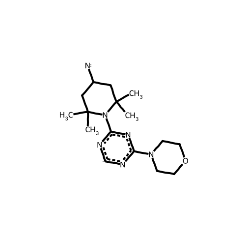 CC1(C)CC([N])CC(C)(C)N1c1n[c]nc(N2CCOCC2)n1